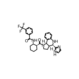 O=C(N[C@@H]1CCCC[C@@H]1C(=O)N1CC[C@@H]2[C@H](c3ncc[nH]3)Nc3ccccc3[C@@H]21)c1cccc(C(F)(F)F)c1